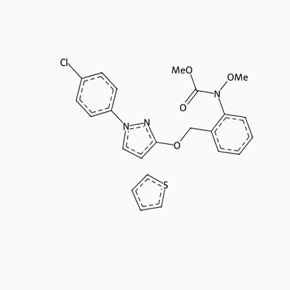 COC(=O)N(OC)c1ccccc1COc1ccn(-c2ccc(Cl)cc2)n1.c1ccsc1